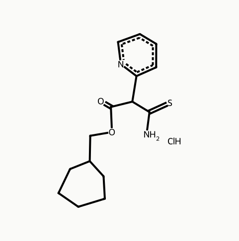 Cl.NC(=S)C(C(=O)OCC1CCCCC1)c1ccccn1